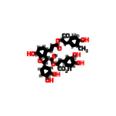 Cc1cc(C[C@@H](OC(=O)/C=C/c2ccc(O)c3c2[C@H](C(=O)O[C@H](Cc2ccc(O)c(O)c2)C(=O)O)[C@@H](c2ccc(O)c(O)c2)O3)C(=O)O)ccc1O